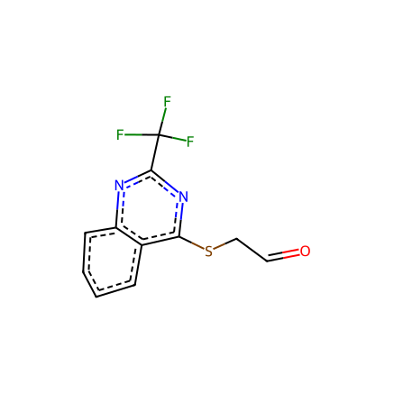 O=CCSc1nc(C(F)(F)F)nc2ccccc12